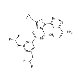 C[C@H](NC(=O)c1cc(OC(F)F)cc(OC(F)F)c1)c1nc(C2CC2)nn1-c1cc(C(N)=O)ncn1